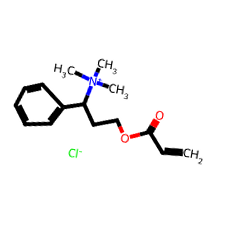 C=CC(=O)OCCC(c1ccccc1)[N+](C)(C)C.[Cl-]